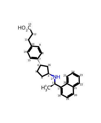 C[C@@H](N[C@H]1CC[C@H](c2ccc(CCC(=O)O)cc2)C1)c1cccc2ccccc12